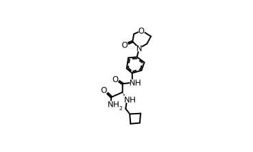 NC(=O)[C@@H](NCC1CCC1)C(=O)Nc1ccc(N2CCOCC2=O)cc1